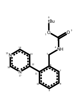 CC(C)(C)OC(=O)NCc1ccccc1-c1ccncn1